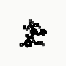 CCOc1ccc(Cl)cc1C(=O)N=c1sc(C(C)(C)C)cn1CC1CCCO1